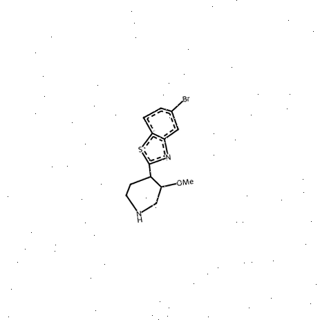 COC1CNCCC1c1nc2cc(Br)ccc2s1